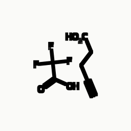 C#CCCC(=O)O.O=C(O)C(F)(F)F